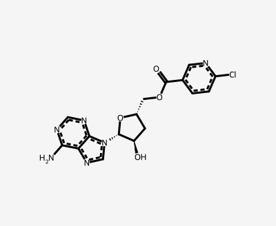 Nc1ncnc2c1ncn2[C@@H]1O[C@H](COC(=O)c2ccc(Cl)nc2)C[C@H]1O